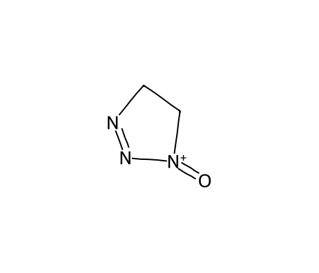 O=[N+]1CCN=N1